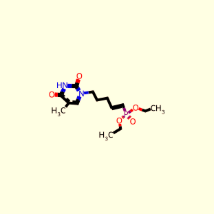 CCOP(=O)(/C=C/CCCn1cc(C)c(=O)[nH]c1=O)OCC